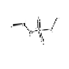 C=NOS(=O)(=O)CC